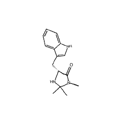 CN1C(=O)[C@@H](Cc2c[nH]c3ccccc23)NC1(C)C